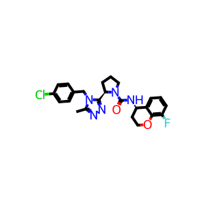 Cc1nnc([C@H]2CCCN2C(=O)N[C@H]2CCOc3c(F)cccc32)n1Cc1ccc(Cl)cc1